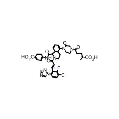 C[C@@H](CCC(=O)N1CCN(c2cccc3c2CCN(C(=O)/C=C/c2c(-n4cnnn4)ccc(Cl)c2F)C3C(=O)Nc2ccc(C(=O)O)cc2)C(=O)C1)C(=O)O